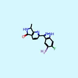 CC1NC(=O)c2ccc(-c3n[nH]c4cc(F)c(P)cc34)nc21